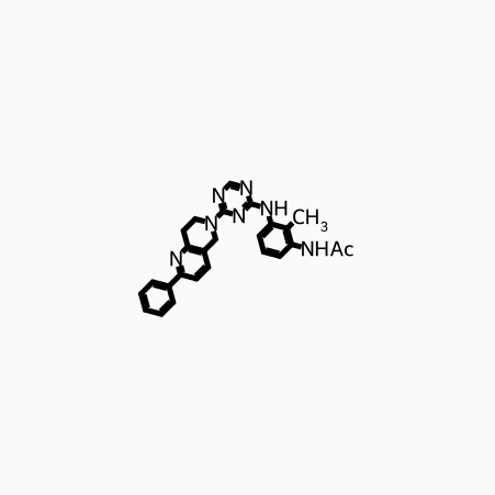 CC(=O)Nc1cccc(Nc2ncnc(N3CCc4nc(-c5ccccc5)ccc4C3)n2)c1C